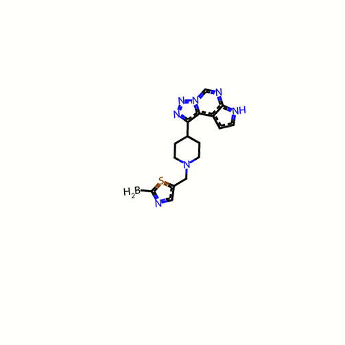 Bc1ncc(CN2CCC(c3nnn4cnc5[nH]ccc5c34)CC2)s1